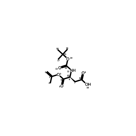 C=C(C)OC(=O)[C@H](CC(=O)O)NC(=O)OC(C)(C)C